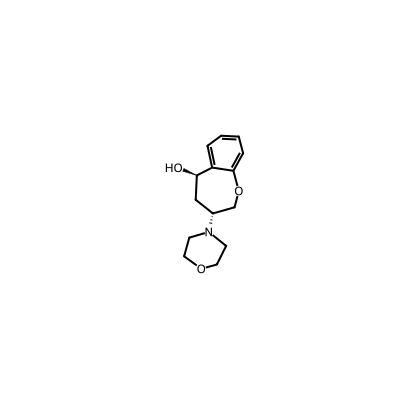 O[C@@H]1C[C@@H](N2CCOCC2)COc2ccccc21